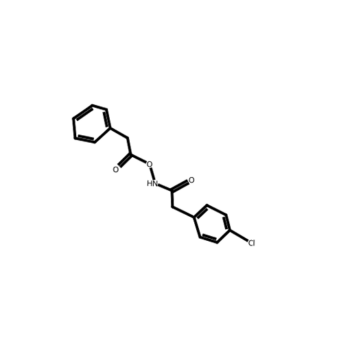 O=C(Cc1ccc(Cl)cc1)NOC(=O)Cc1ccccc1